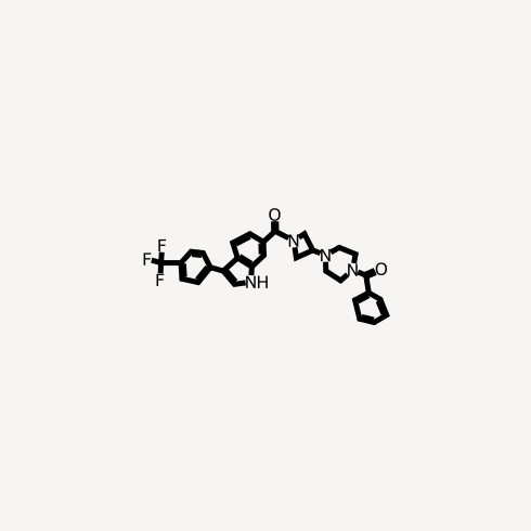 O=C(c1ccccc1)N1CCN(C2CN(C(=O)c3ccc4c(-c5ccc(C(F)(F)F)cc5)c[nH]c4c3)C2)CC1